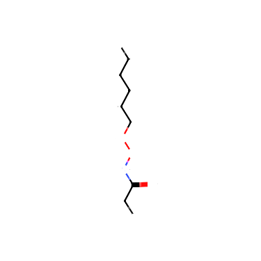 CCCCCCCCCC(=O)NOOCCCCCC(=O)O